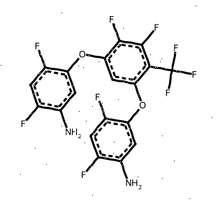 Nc1cc(Oc2cc(Oc3cc(N)c(F)cc3F)c(C(F)(F)F)c(F)c2F)c(F)cc1F